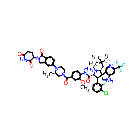 COc1cc(C(=O)N2CCN(c3ccc4c(c3)CN(C3CCC(=O)NC3=O)C4=O)[C@H](C)C2)ccc1NC(=O)[C@@H]1N[C@@H](CC(C)(C)C)[C@@]2(CNc3cc(C(F)(F)F)ncc32)[C@H]1c1cccc(Cl)c1F